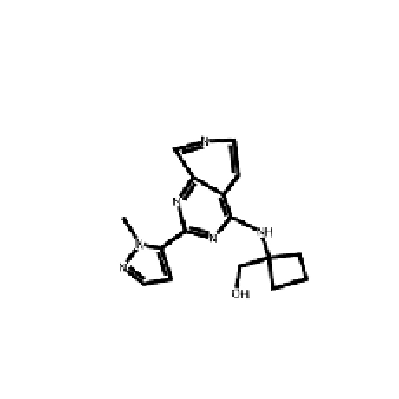 Cn1nccc1-c1nc(NC2(CO)CCC2)c2ccncc2n1